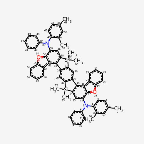 Cc1ccc(N(c2ccccc2)c2cc3c(c4c2oc2ccccc24)-c2cc4c(cc2[Si]3(C)C)-c2c(cc(N(c3ccccc3)c3ccc(C)cc3C)c3oc5ccccc5c23)[Si]4(C)C)c(C)c1